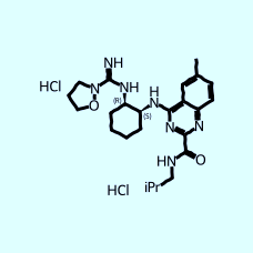 Cc1ccc2nc(C(=O)NCC(C)C)nc(N[C@H]3CCCC[C@H]3NC(=N)N3CCCO3)c2c1.Cl.Cl